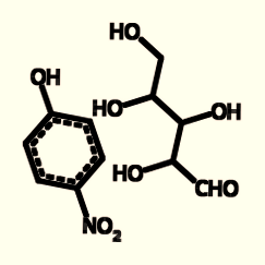 O=CC(O)C(O)C(O)CO.O=[N+]([O-])c1ccc(O)cc1